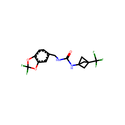 O=C(NCc1ccc2c(c1)OC(F)(F)O2)NC12CC(C(F)(F)F)(C1)C2